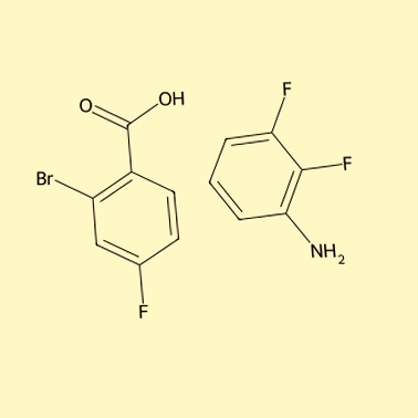 Nc1cccc(F)c1F.O=C(O)c1ccc(F)cc1Br